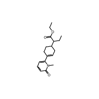 CCOC(=O)C(CC)C1CC=C(c2cccc(=O)n2C)CC1